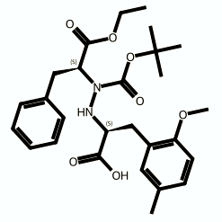 CCOC(=O)[C@H](Cc1ccccc1)N(N[C@@H](Cc1cc(C)ccc1OC)C(=O)O)C(=O)OC(C)(C)C